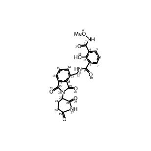 CONC(=O)c1cccc(C(=O)NCc2cccc3c2C(=O)N(C2CCC(=O)NC2=O)C3=O)c1O